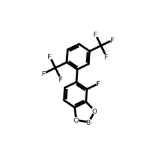 Fc1c(-c2cc(C(F)(F)F)ccc2C(F)(F)F)ccc2c1O[B]O2